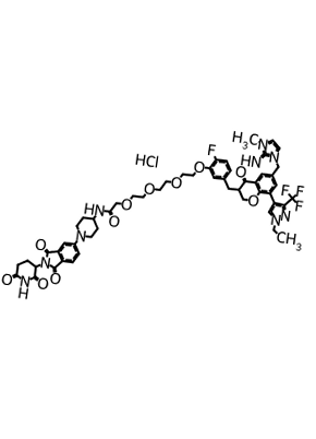 CCn1cc(-c2cc(Cn3ccn(C)c3=N)cc3c2OCC(Cc2ccc(F)c(OCCOCCOCCOCC(=O)NC4CCN(c5ccc6c(c5)C(=O)N(C5CCC(=O)NC5=O)C6=O)CC4)c2)C3=O)c(C(F)(F)F)n1.Cl